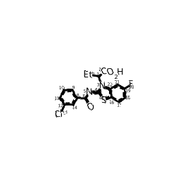 CCC(C(=O)O)n1/c(=N/C(=O)c2cccc(Cl)c2)sc2ccc(F)cc21